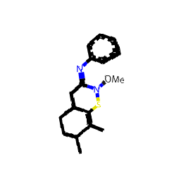 CON1SC2=C(C)C(C)CCC2CC1=Nc1ccccc1